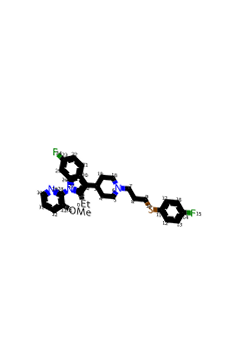 CCc1c(C2CCN(CCCSc3ccc(F)cc3)CC2)c2ccc(F)cc2n1-c1ncccc1OC